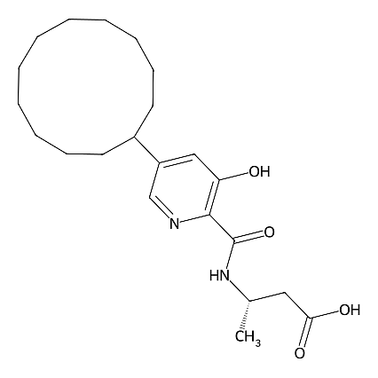 C[C@@H](CC(=O)O)NC(=O)c1ncc(C2CCCCCCCCCCC2)cc1O